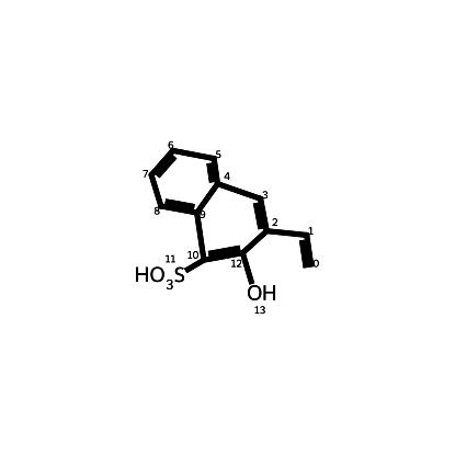 C=Cc1cc2ccccc2c(S(=O)(=O)O)c1O